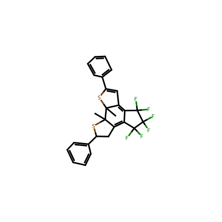 CC12SC(c3ccccc3)=CC1=C1C(=C3CC(c4ccccc4)SC32C)C(F)(F)C(F)(F)C1(F)F